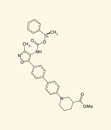 COC(=O)C1CCCN(c2ccc(-c3ccc(-c4onc(C)c4NC(=O)O[C@H](C)c4ccccc4)cc3)cc2)C1